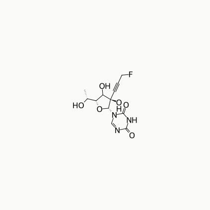 C[C@@H](O)[C@H]1O[C@@H](n2cnc(=O)[nH]c2=O)[C@@](O)(C#CCF)C1O